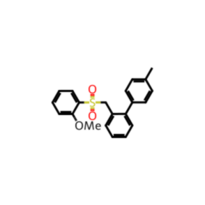 COc1ccccc1S(=O)(=O)Cc1ccccc1-c1ccc(C)cc1